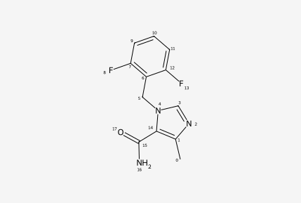 Cc1ncn(Cc2c(F)cccc2F)c1C(N)=O